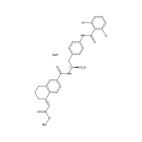 CC(C)(C)OC(=O)/C=C1\CCCc2cc(C(=O)N[C@@H](Cc3ccc(NC(=O)c4c(Cl)cccc4Cl)cc3)C(=O)O)ccc21.[NaH]